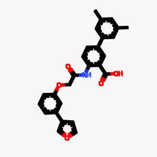 Cc1cc(C)cc(-c2ccc(NC(=O)COc3cccc(-c4ccoc4)c3)c(C(=O)O)c2)c1